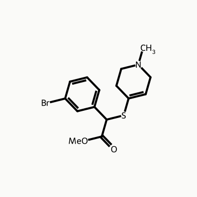 COC(=O)C(SC1=CCN(C)CC1)c1cccc(Br)c1